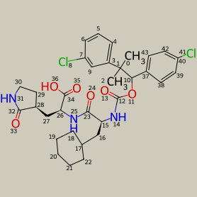 CC(C)(c1cccc(Cl)c1)C(OC(=O)N[C@@H](CC1CCCCC1)C(=O)N[C@@H](C[C@@H]1CCNC1=O)C(=O)O)c1ccc(Cl)cc1